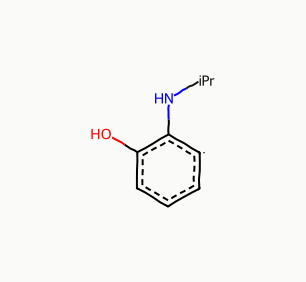 CC(C)Nc1[c]cccc1O